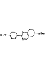 CCCCCCCCc1ccc(-c2ncc3c(n2)CCC(CCCCCC)C3)cc1